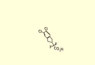 O=C(O)C(F)(F)C1Cc2cc(Cl)c(Cl)cc2C1